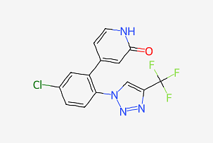 O=c1cc(-c2cc(Cl)ccc2-n2cc(C(F)(F)F)nn2)cc[nH]1